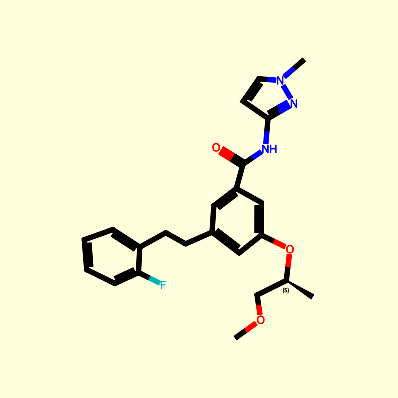 COC[C@H](C)Oc1cc(CCc2ccccc2F)cc(C(=O)Nc2ccn(C)n2)c1